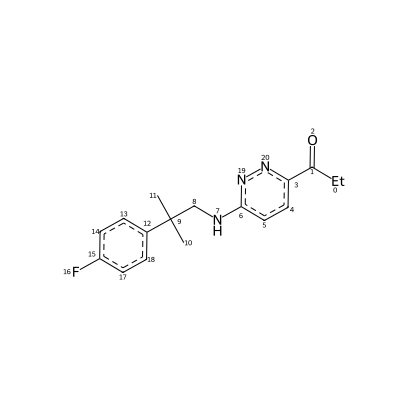 CCC(=O)c1ccc(NCC(C)(C)c2ccc(F)cc2)nn1